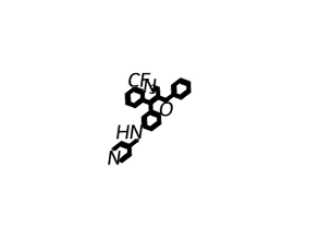 O=C(c1ccccc1)c1cnc2c(C(F)(F)F)cccc2c1-c1cccc(NCc2ccncc2)c1